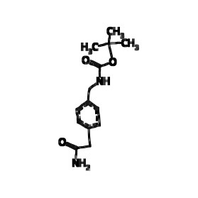 CC(C)(C)OC(=O)NCc1ccc(CC(N)=O)cc1